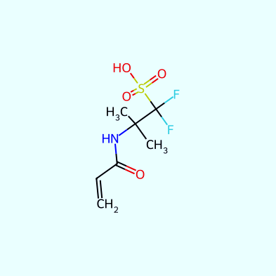 C=CC(=O)NC(C)(C)C(F)(F)S(=O)(=O)O